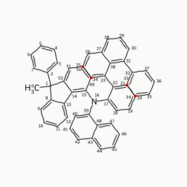 CC1(c2ccccc2)c2ccccc2-c2c(N(c3ccccc3-c3cccc4cccc(-c5ccccc5)c34)c3cccc4ccccc34)cccc21